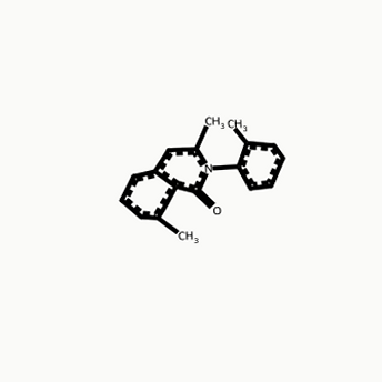 Cc1ccccc1-n1c(C)cc2cccc(C)c2c1=O